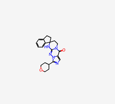 O=c1c2cnc(C3CCOCC3)n2nc2n1CCC1(CCc3ccccc31)N2